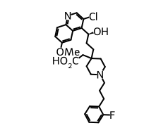 COc1ccc2ncc(Cl)c([C@@H](O)CCC3(CC(=O)O)CCN(CCCc4ccccc4F)CC3)c2c1